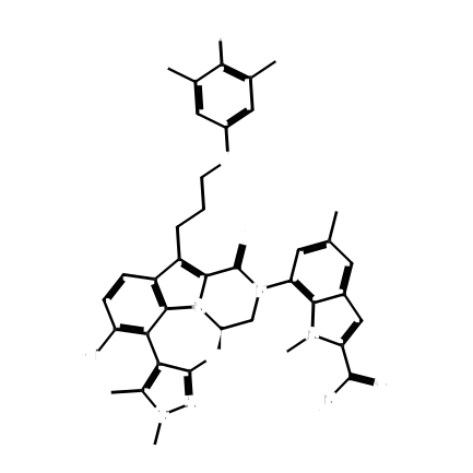 Cc1cc(N2C[C@@H](C)n3c(c(CCCOc4cc(C)c(Cl)c(C)c4)c4ccc(Cl)c(-c5c(C)nn(C)c5C)c43)C2=O)c2c(c1)cc(C(N)=O)n2C